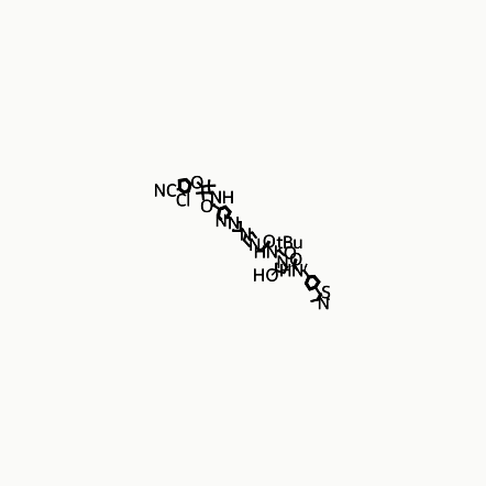 Cc1ncsc1-c1ccc([C@H](C)NC(=O)[C@@H]2C[C@@H](O)CN2C(=O)C(NC(=O)CN2CCN(C3CN(c4ccc(C(=O)NC5C(C)(C)C(Oc6ccc(C#N)c(Cl)c6)C5(C)C)cn4)C3)CC2)C(C)(C)C)cc1